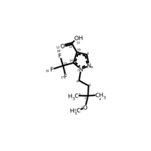 COC(C)(C)CCn1ncc(C(=O)O)c1C(F)(F)F